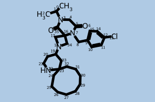 CC(C)N1CC(=O)N(Cc2ccc(Cl)cc2)C2(CN(C3CCNC4(CCCCCCCCC4)C3)C2)C1=O